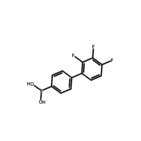 OB(O)c1ccc(-c2ccc(F)c(F)c2F)cc1